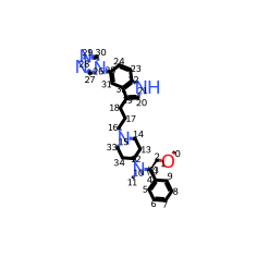 COC[C@@H](c1ccccc1)N(C)C1CCN(CCCc2c[nH]c3ccc(-n4cnnc4)cc23)CC1